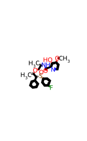 COc1ccnc(C(=O)N[C@@H](C)C(=O)O[C@@H](C)[C@H](Sc2ccc(F)cc2)c2ccccc2)c1O